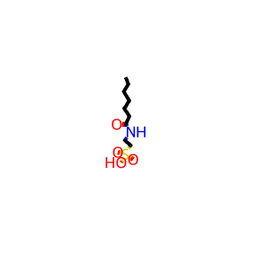 CCCCCCC(=O)NCCS(=O)(=O)O